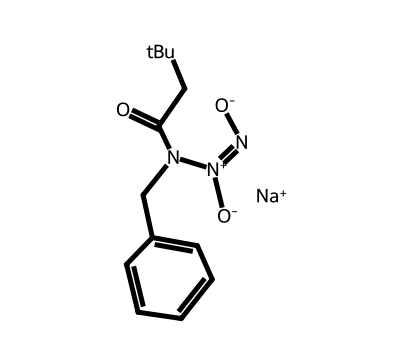 CC(C)(C)CC(=O)N(Cc1ccccc1)/[N+]([O-])=N\[O-].[Na+]